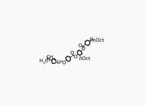 CCCCCCCCOc1ccc(C(=O)Oc2ccc(OC(=O)c3ccc(OCC[n+]4ccc(N(C)C)cc4)cc3)c(CCCCCCCC)c2)cc1